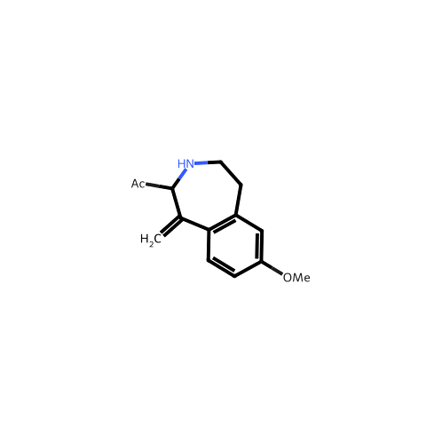 C=C1c2ccc(OC)cc2CCNC1C(C)=O